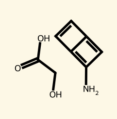 Nc1cc2ccc1-2.O=C(O)CO